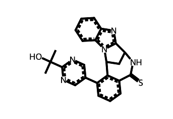 CC(C)(O)c1ncc(-c2cccc3c2C2CC(NC3=S)c3nc4ccccc4n32)cn1